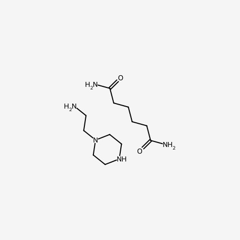 NC(=O)CCCCC(N)=O.NCCN1CCNCC1